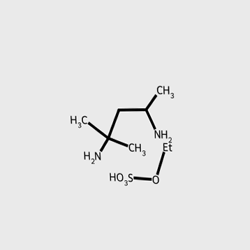 CC(N)CC(C)(C)N.CCOS(=O)(=O)O